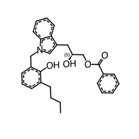 CCCCc1cccc(Cn2cc(C[C@H](O)COC(=O)c3ccccc3)c3ccccc32)c1O